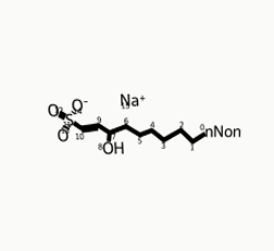 CCCCCCCCCCCCCCCC(O)C=CS(=O)(=O)[O-].[Na+]